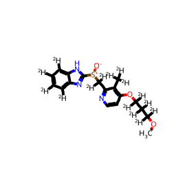 [2H]c1c([2H])c([2H])c2[nH]c([S+]([O-])C([2H])([2H])c3nccc(OC([2H])([2H])C([2H])([2H])C([2H])([2H])OC)c3C([2H])([2H])[2H])nc2c1[2H]